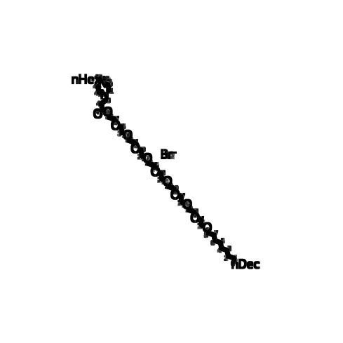 CCCCCCCCCCCCCCCCCCOCCOCCOCCOCCOCCOCCOCCOCCOCCOCCOC(=O)CCN1CC[N+](C)(CCCCCC)CC1.[Br-]